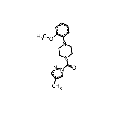 COc1ccccc1N1CCN(C(=O)n2cc(C)cn2)CC1